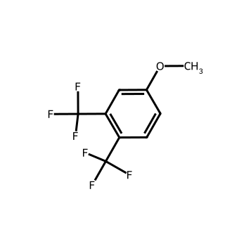 COc1ccc(C(F)(F)F)c(C(F)(F)F)c1